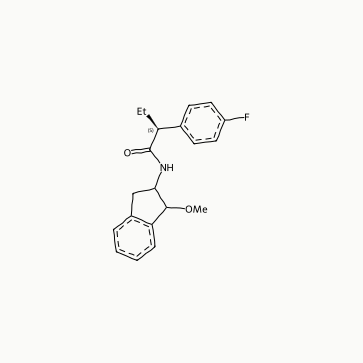 CC[C@H](C(=O)NC1Cc2ccccc2C1OC)c1ccc(F)cc1